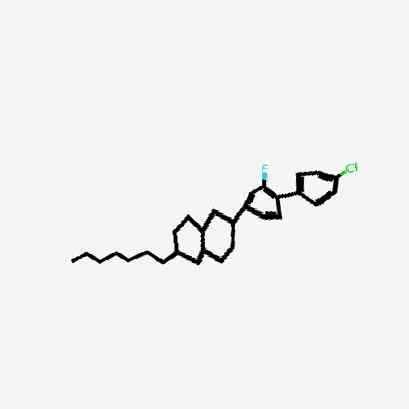 CCCCCCCC1CCC2CC(c3ccc(-c4ccc(Cl)cc4)c(F)c3)CCC2C1